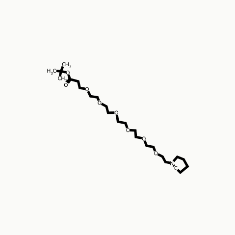 CC(C)(C)OC(=O)CCOCCOCCOCCOCCOCCOCCN1CCCCC1